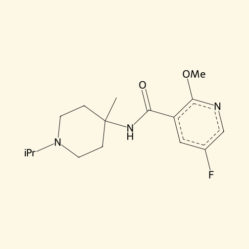 COc1ncc(F)cc1C(=O)NC1(C)CCN(C(C)C)CC1